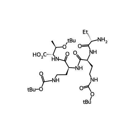 CC[C@H](N)C(=O)N[C@@H](CCNC(=O)OC(C)(C)C)C(=O)N[C@@H](CCNC(=O)OC(C)(C)C)C(=O)N[C@H](C(=O)O)[C@@H](C)OC(C)(C)C